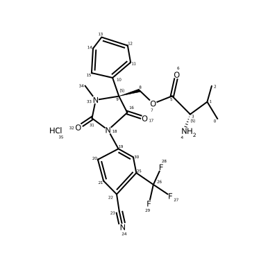 CC(C)[C@H](N)C(=O)OC[C@@]1(c2ccccc2)C(=O)N(c2ccc(C#N)c(C(F)(F)F)c2)C(=O)N1C.Cl